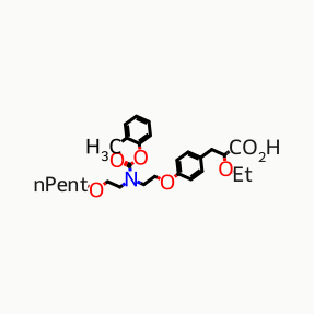 CCCCCOCCN(CCOc1ccc(CC(OCC)C(=O)O)cc1)C(=O)Oc1ccccc1C